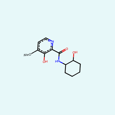 COc1ccnc(C(=O)NC2CCCCC2O)c1O